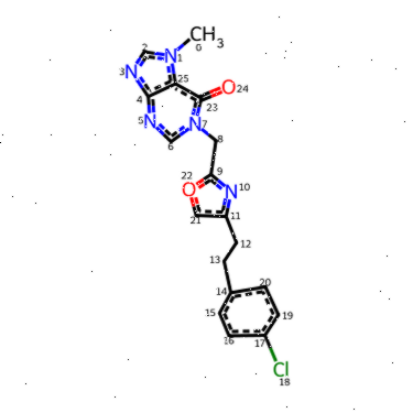 Cn1cnc2ncn(Cc3nc(CCc4ccc(Cl)cc4)co3)c(=O)c21